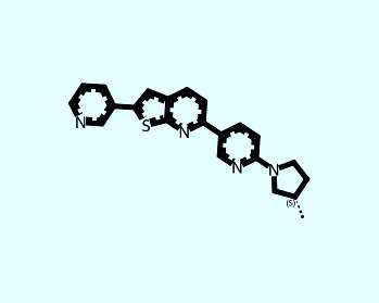 C[C@H]1CCN(c2ccc(-c3ccc4cc(-c5cccnc5)sc4n3)cn2)C1